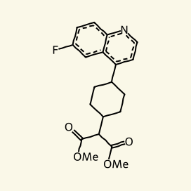 COC(=O)C(C(=O)OC)C1CCC(c2ccnc3ccc(F)cc23)CC1